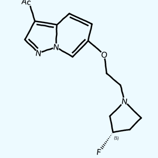 CC(=O)c1cnn2cc(OCCN3CC[C@H](F)C3)ccc12